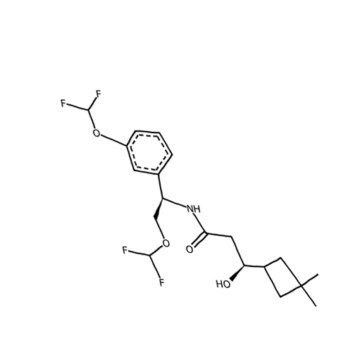 CC1(C)CC([C@@H](O)CC(=O)N[C@@H](COC(F)F)c2cccc(OC(F)F)c2)C1